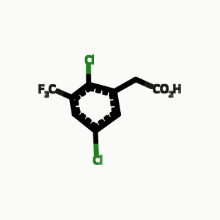 O=C(O)Cc1cc(Cl)cc(C(F)(F)F)c1Cl